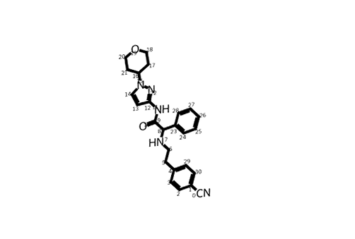 N#Cc1ccc(CCNC(C(=O)Nc2ccn(C3CCOCC3)n2)c2ccccc2)cc1